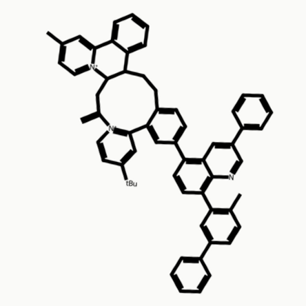 C=C1CC2C(CCc3ccc(-c4ccc(-c5cc(-c6ccccc6)ccc5C)c5ncc(-c6ccccc6)cc45)cc3-c3cc(C(C)(C)C)cc[n+]31)c1ccccc1-c1cc(C)cc[n+]12